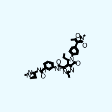 CCC1c2c(C(=O)Nc3cccc(C(=O)Nc4ccn(C)n4)c3)nc(C)nc2C(=O)N1c1ccc(-c2c(C)on(C)c2=O)cc1